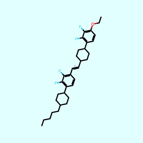 CCCCCC1CCC(c2ccc(/C=C/C3CCC(c4ccc(OCC)c(F)c4F)CC3)c(F)c2F)CC1